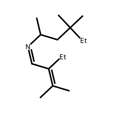 CCC(/C=N\C(C)CC(C)(C)CC)=C(C)C